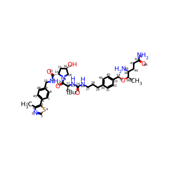 Cc1ncsc1-c1ccc(CNC(=O)[C@@H]2C[C@@H](O)CN2C(=O)[C@@H](NC(=O)NCCCc2ccc(CO[C@H](C)[C@@H](N)CCC(N)=O)cc2)C(C)(C)C)cc1